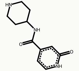 O=C(NC1CCNCC1)c1cc[nH]c(=O)c1